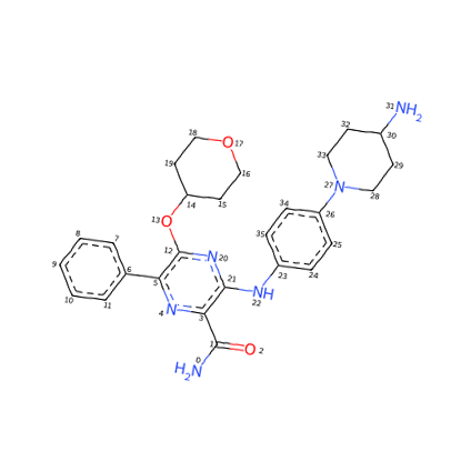 NC(=O)c1nc(-c2ccccc2)c(OC2CCOCC2)nc1Nc1ccc(N2CCC(N)CC2)cc1